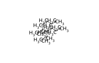 CC(C)=CCCC(C)=CCCC(C)=CCCC=C(C)CCC=C(C)CCC=C(C)C.CC(C)=CCCC(C)=CCCC(C)=CCCC=C(C)CCC=C(C)CCC=C(C)C